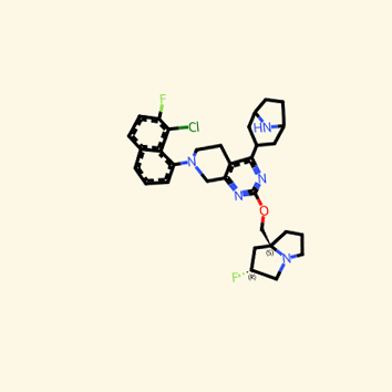 Fc1ccc2cccc(N3CCc4c(nc(OC[C@@]56CCCN5C[C@H](F)C6)nc4C4CC5CCC(C4)N5)C3)c2c1Cl